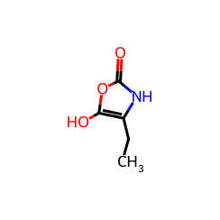 CCc1[nH]c(=O)oc1O